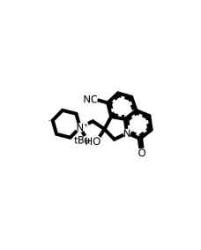 CC(C)(C)[N+]1(CC2(O)Cn3c(=O)ccc4ccc(C#N)c2c43)CC[CH]CC1